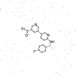 CC[S+]([O-])c1cncc(-c2ccc(N[C@H](C)c3ccc(F)cc3)nc2)c1